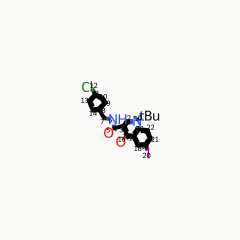 CC(C)(C)n1cc(C(=O)NCc2ccc(Cl)cc2)c(=O)c2cc(I)ccc21